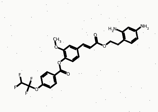 COc1cc(C=CC(=O)OCCc2ccc(N)cc2N)ccc1OC(=O)c1ccc(OC(F)(F)C(F)F)cc1